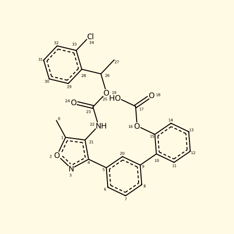 Cc1onc(-c2cccc(-c3ccccc3OC(=O)O)c2)c1NC(=O)OC(C)c1ccccc1Cl